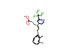 COC(=O)CC/C(=C\Cc1cccc(F)c1C)c1ccnc(C(F)(F)F)c1